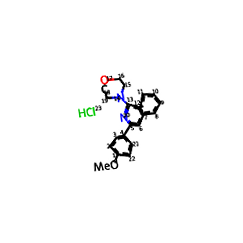 COc1ccc(-c2cc3ccccc3c(N3CCOCC3)n2)cc1.Cl